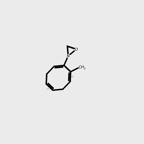 C/C1=C/C/C=C\CC=C1N1CO1